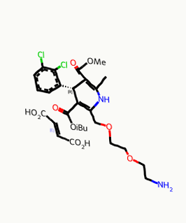 COC(=O)C1=C(C)NC(COCCOCCN)=C(C(=O)OCC(C)C)[C@@H]1c1cccc(Cl)c1Cl.O=C(O)/C=C/C(=O)O